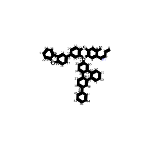 C=C/C=C\c1cc2c(cc1C)Sc1ccc(-c3ccc4oc5ccccc5c4c3)cc1N2c1ccc2c3ccc(-c4ccccc4)cc3c3ccccc3c2c1